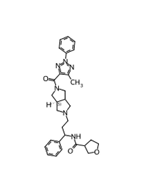 Cc1nn(-c2ccccc2)nc1C(=O)N1CC2CN(CCC(NC(=O)C3CCOC3)c3ccccc3)C[C@H]2C1